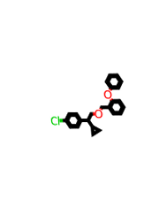 Clc1ccc(C(COCc2ccccc2Oc2ccccc2)C2CC2)cc1